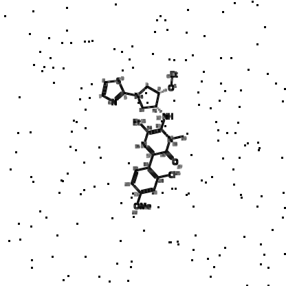 CCO[C@H]1CN(c2nccs2)C[C@H]1Nc1c(CC)nc(-c2ccc(OC)cc2Cl)c(=O)n1C